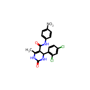 CC1=C(C(=O)Nc2ccc([N+](=O)[O-])cc2)C(c2ccc(Cl)cc2Cl)NC(=O)N1